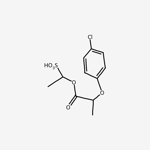 CC(Oc1ccc(Cl)cc1)C(=O)OC(C)S(=O)(=O)O